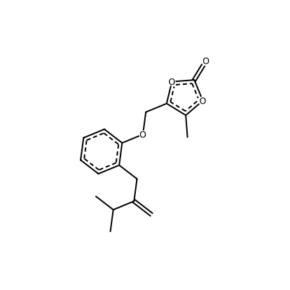 C=C(Cc1ccccc1OCc1oc(=O)oc1C)C(C)C